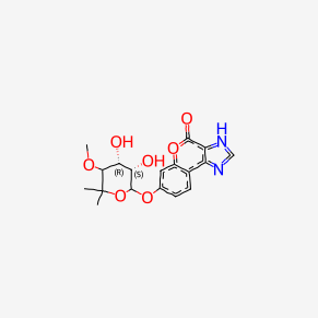 COC1[C@H](O)[C@H](O)C(Oc2ccc3c(c2)oc(=O)c2[nH]cnc23)OC1(C)C